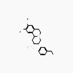 CCc1cccc([C@H]2CN3CCc4cc(OC)c(OC)cc4[C@@H]3C[C@H]2N)c1